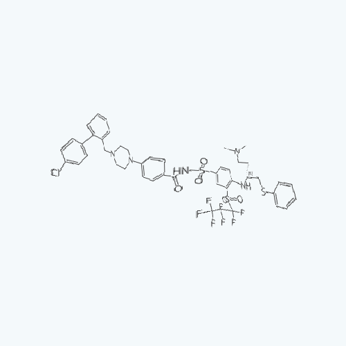 CN(C)CC[C@H](CSc1ccccc1)Nc1ccc(S(=O)(=O)NC(=O)c2ccc(N3CCN(Cc4ccccc4-c4ccc(Cl)cc4)CC3)cc2)cc1S(=O)(=O)C(F)(F)C(F)(F)C(F)(F)F